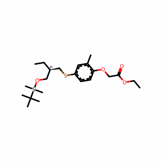 CCOC(=O)COc1ccc(SC[C@H](CC)CO[Si](C)(C)C(C)(C)C)cc1C